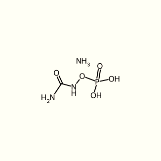 N.NC(=O)NOP(=O)(O)O